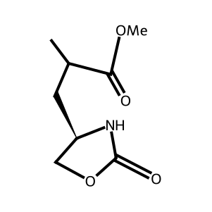 COC(=O)C(C)C[C@@H]1COC(=O)N1